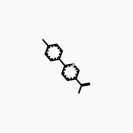 C=C(C)c1ccc(-c2ccc(C)cc2)nc1